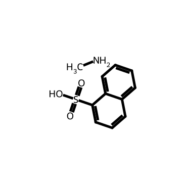 CN.O=S(=O)(O)c1cccc2ccccc12